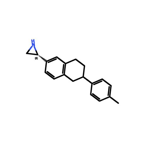 Cc1ccc(C2CCc3cc([C@@H]4CN4)ccc3C2)cc1